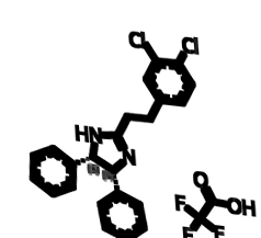 Clc1ccc(CCC2=N[C@H](c3ccccc3)[C@H](c3ccccc3)N2)cc1Cl.O=C(O)C(F)(F)F